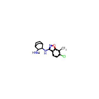 FC(F)(F)c1c(Cl)ccc2c(NC3C4CCC(CC4)[C@@]34CN4)noc12